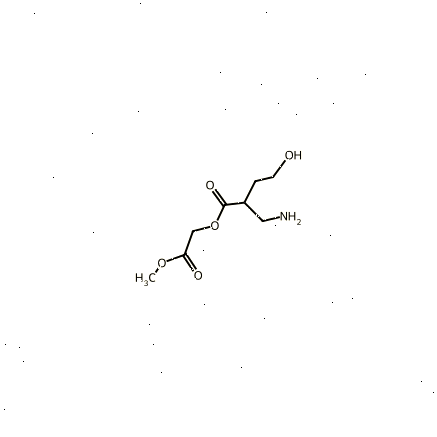 COC(=O)COC(=O)C(CN)CCO